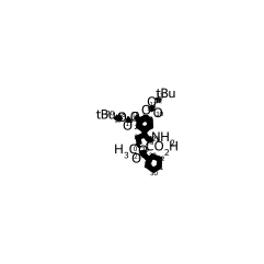 CC(CC(c1ccc(OC(=O)OCC(C)(C)C)c(OC(=O)OCC(C)(C)C)c1)[C@H](N)C(=O)O)OC(=O)C1CCCCC1